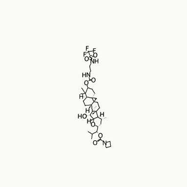 CC(C)[C@@H](OC(=O)N1CCC1)[C@H]1C[C@@H](C)[C@H]2[C@H](O1)[C@H](O)[C@@]1(C)[C@@H]3CC[C@H]4C(C)(C)[C@@H](OC(=O)NCCNS(=O)(=O)C(F)(F)F)CC[C@@]45C[C@@]35CC[C@]21C